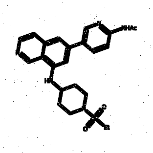 CCS(=O)(=O)N1CCC(Nc2cc(-c3ccc(NC(C)=O)nc3)cc3ccncc23)CC1